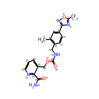 Cc1cc(-c2noc(C(F)(F)F)n2)ccc1CNC(=O)OCc1cccnc1C(N)=O